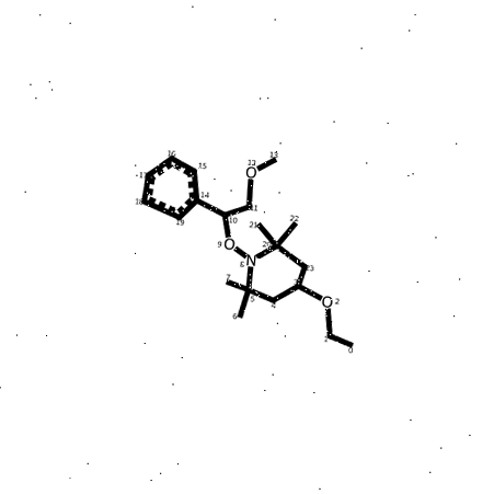 CCOC1CC(C)(C)N(OC(COC)c2ccccc2)C(C)(C)C1